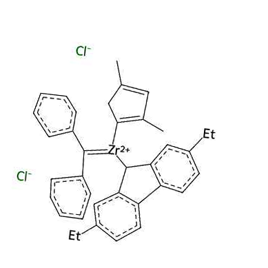 CCc1ccc2c(c1)[CH]([Zr+2]([C]1=C(C)C=C(C)C1)=[C](c1ccccc1)c1ccccc1)c1cc(CC)ccc1-2.[Cl-].[Cl-]